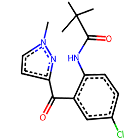 Cn1ccc(C(=O)c2cc(Cl)ccc2NC(=O)C(C)(C)C)n1